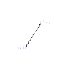 CCCCC/C=C/CCCCCCCCCCCCCN